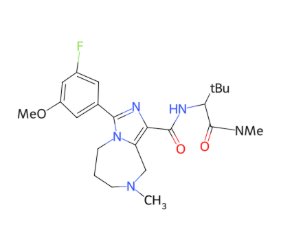 CNC(=O)C(NC(=O)c1nc(-c2cc(F)cc(OC)c2)n2c1CN(C)CCC2)C(C)(C)C